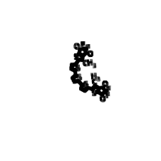 Cc1c(-c2ccc(-c3ccc(-c4ccc(-c5sc6c(c5C)C(=O)C(F)(F)C6=O)s4)s3)s2)sc2c1C(=O)C(F)(F)C2=O